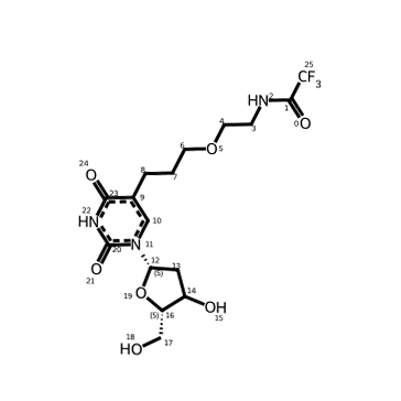 O=C(NCCOCCCc1cn([C@@H]2CC(O)[C@H](CO)O2)c(=O)[nH]c1=O)C(F)(F)F